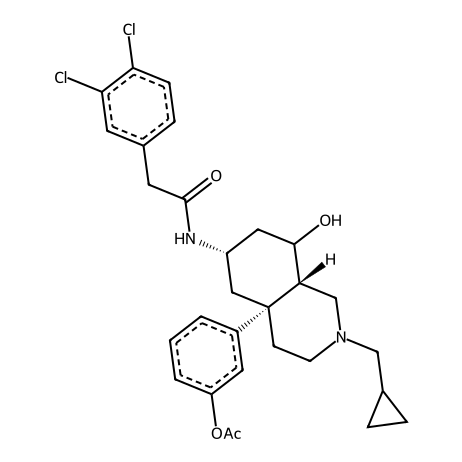 CC(=O)Oc1cccc([C@@]23CCN(CC4CC4)C[C@H]2C(O)C[C@@H](NC(=O)Cc2ccc(Cl)c(Cl)c2)C3)c1